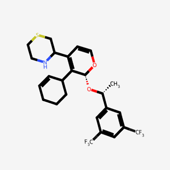 C[C@@H](O[C@H]1OC=CC(C2CSCCN2)=C1C1C=CCCC1)c1cc(C(F)(F)F)cc(C(F)(F)F)c1